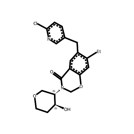 CCc1cc2c(cc1Cc1ccc(Cl)nc1)C(=O)N([C@H]1COCC[C@@H]1O)CO2